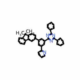 CC1(C)c2ccccc2-c2cc(-c3cc(-c4ccccn4)cc(-c4nc(-c5ccccc5)nc(-c5ccccc5)n4)c3)ccc21